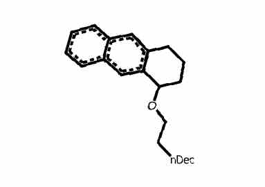 CCCCCCCCCCCCOC1CCCc2cc3ccccc3cc21